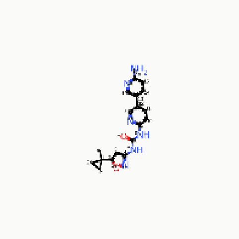 CC1(c2cc(NC(=O)Nc3ccc(-c4ccc(N)nc4)cn3)no2)CC1